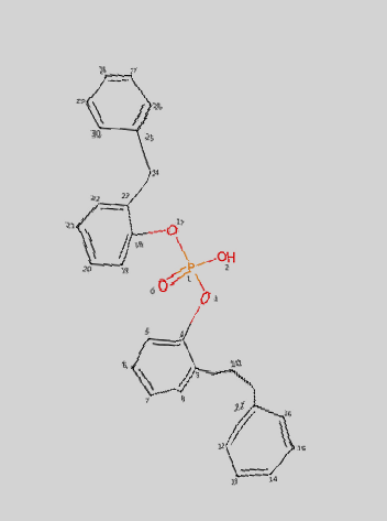 O=P(O)(Oc1ccccc1Cc1ccccc1)Oc1ccccc1Cc1ccccc1